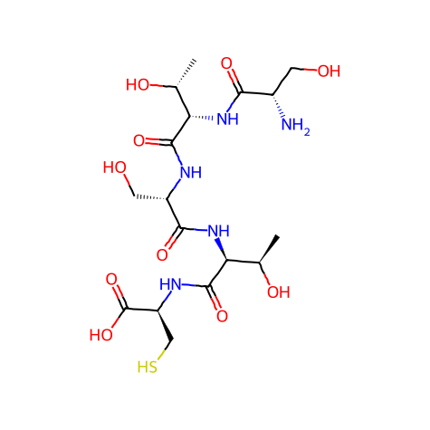 C[C@@H](O)[C@H](NC(=O)[C@H](CO)NC(=O)[C@@H](NC(=O)[C@@H](N)CO)[C@@H](C)O)C(=O)N[C@@H](CS)C(=O)O